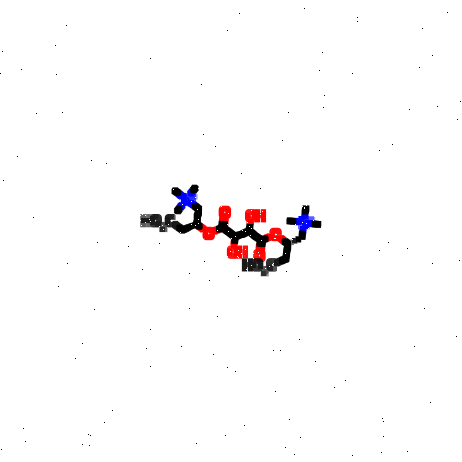 C[N+](C)(C)C[C@H](CC(=O)O)OC(=O)C(O)C(O)C(=O)O[C@@H](CC(=O)O)C[N+](C)(C)C